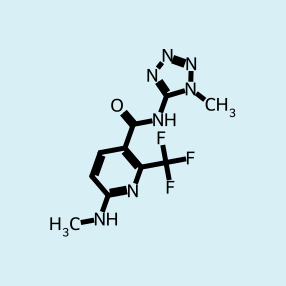 CNc1ccc(C(=O)Nc2nnnn2C)c(C(F)(F)F)n1